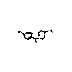 CC(c1ccc(Br)cc1)N1CCC(N)CC1